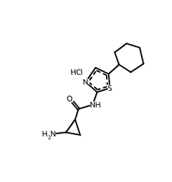 Cl.NC1CC1C(=O)Nc1ncc(C2CCCCC2)s1